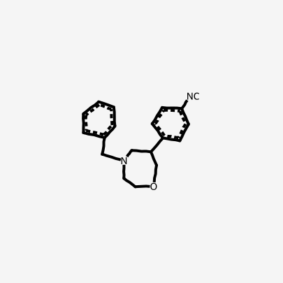 [C-]#[N+]c1ccc(C2COCCN(Cc3ccccc3)C2)cc1